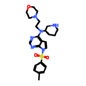 Cc1ccc(S(=O)(=O)n2ccc3c(N(CCN4CCOCC4)C4CCCNC4)ncnc32)cc1